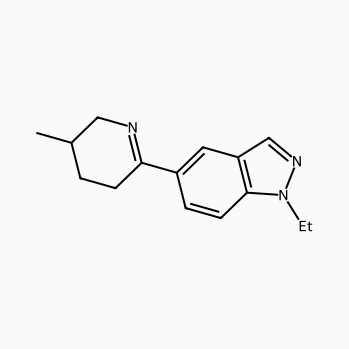 CCn1ncc2cc(C3=NCC(C)CC3)ccc21